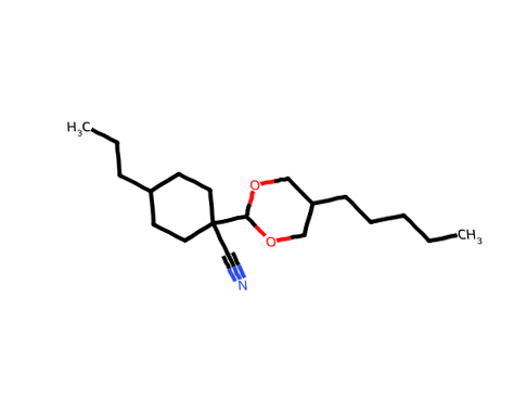 CCCCCC1COC(C2(C#N)CCC(CCC)CC2)OC1